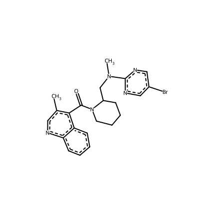 Cc1cnc2ccccc2c1C(=O)N1CCCCC1CN(C)c1ncc(Br)cn1